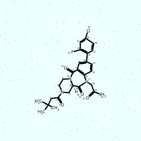 CC(C)(C)CC(=O)N1CCN2C(=O)c3cc(-c4ccc(Cl)cc4F)ccc3N(CC(N)=O)C(=O)[C@H]2C1